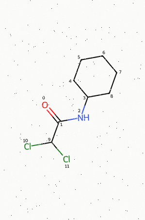 O=C(NC1CCCCC1)C(Cl)Cl